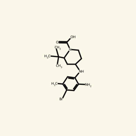 Cc1cc(NC2CCN(C(=O)O)C(C(C)(C)C)C2)c(N)cc1Br